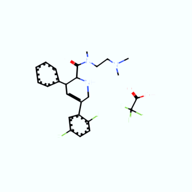 CN(C)CCN(C)C(=O)C1NCC(c2cc(F)ccc2F)=CC1c1ccccc1.O=C(O)C(F)(F)F